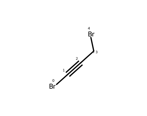 BrC#C[CH]Br